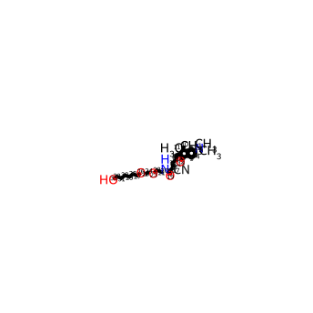 CN(C)c1ccc2c(c1)C(C)(C)c1cc(/C=C(\C#N)C(=O)NCCOCCOCCCCCCO)oc1-2